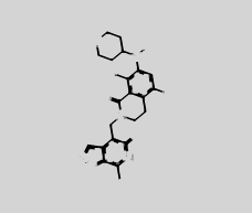 CCN(c1cc(Cl)c2c(c1Cl)C(=O)N(Cc1c(=O)[nH]c(C)c3oncc13)CC2)C1CCOCC1